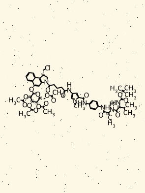 CC(=O)OC[C@H]1O[C@@H](Oc2cc3c(c4ccccc24)[C@H](CCl)CN3C(=O)CCCC(=O)Nc2cc(C(=O)Nc3ccc(NC(=O)[C@H](C)NC(=O)[C@@H](NC(=O)OC(C)(C)C)C(C)C)cc3)n(C)c2)[C@H](OC(C)=O)[C@@H](OC(C)=O)[C@H]1OC(C)=O